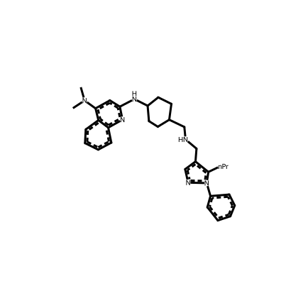 CCCc1c(CNCC2CCC(Nc3cc(N(C)C)c4ccccc4n3)CC2)cnn1-c1ccccc1